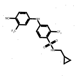 N#Cc1ccc(Nc2ccc(S(=O)(=O)NCC3CC3)c(C(F)(F)F)c2)cc1C(F)(F)F